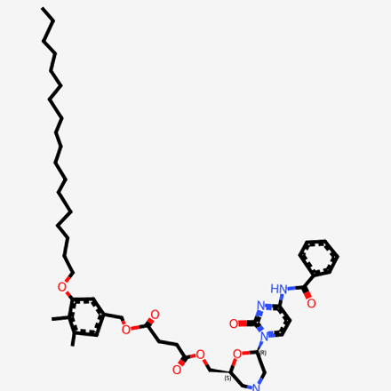 CCCCCCCCCCCCCCCCCCOc1cc(COC(=O)CCC(=O)OC[C@@H]2CNC[C@H](n3ccc(NC(=O)c4ccccc4)nc3=O)O2)cc(C)c1C